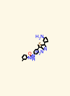 Cc1cccc(NC(=O)Nc2ccc(-c3csc4c(-c5cccc(N)c5)cnc(N)c34)cc2)c1